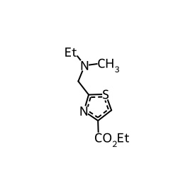 CCOC(=O)c1csc(CN(C)CC)n1